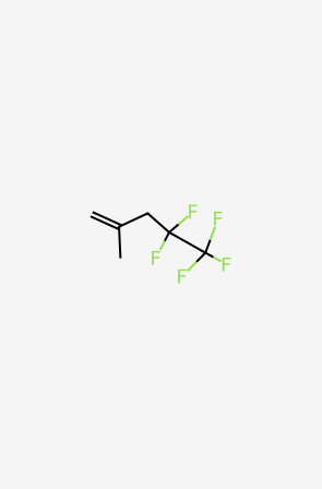 C=C(C)CC(F)(F)C(F)(F)F